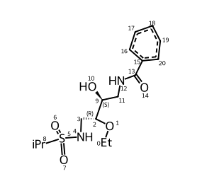 CCO[C@H](CNS(=O)(=O)C(C)C)[C@@H](O)CNC(=O)c1ccccc1